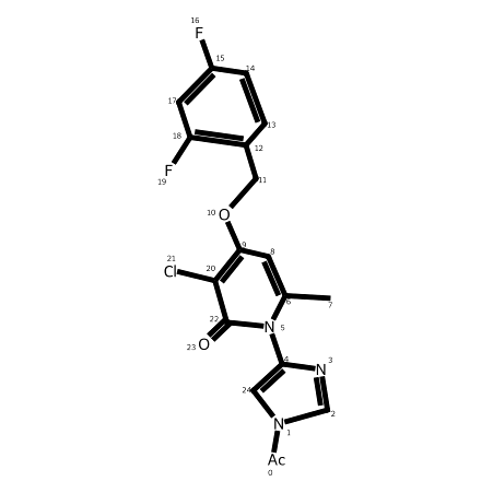 CC(=O)n1cnc(-n2c(C)cc(OCc3ccc(F)cc3F)c(Cl)c2=O)c1